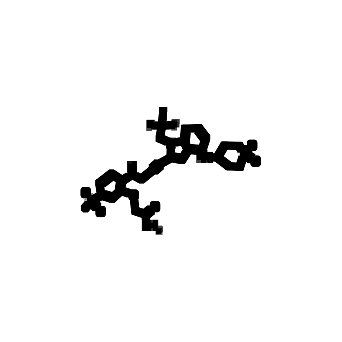 CS(=O)(=O)c1ccc(NCC#Cc2cc3c(NC4CCS(=O)(=O)CC4)cccc3n2CC(F)(F)F)c(OCC(N)=O)c1